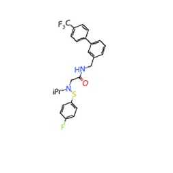 CC(C)N(CC(=O)NCc1cccc(-c2ccc(C(F)(F)F)cc2)c1)Sc1ccc(F)cc1